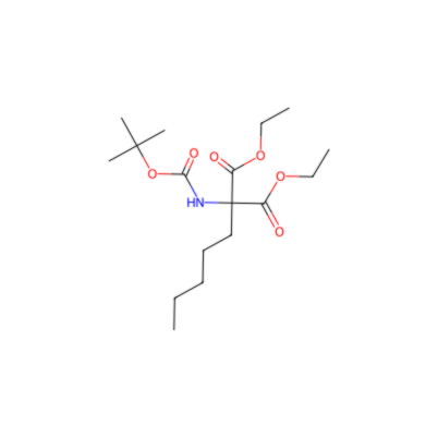 CCCCCC(NC(=O)OC(C)(C)C)(C(=O)OCC)C(=O)OCC